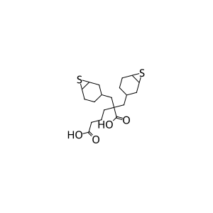 O=C(O)CCCC(CC1CCC2SC2C1)(CC1CCC2SC2C1)C(=O)O